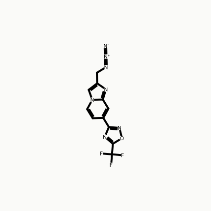 [N-]=[N+]=NCc1cn2ccc(-c3noc(C(F)(F)F)n3)cc2n1